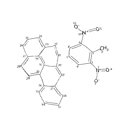 Cc1c([N+](=O)[O-])cccc1[N+](=O)[O-].c1ccc2c(c1)cc1ccc3cccc4ccc2c1c34